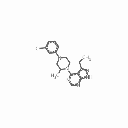 CCc1n[nH]c2ncnc(N3CCN(c4cccc(Cl)c4)CC3C)c12